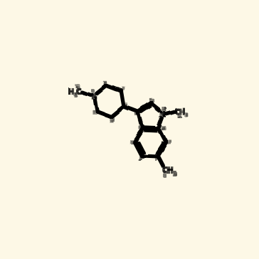 Cc1ccc2c(C3CCN(C)CC3)cn(C)c2c1